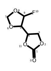 O=C1OCC(C2OCOC2F)O1